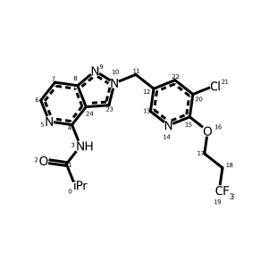 CC(C)C(=O)Nc1nccc2nn(Cc3cnc(OCCC(F)(F)F)c(Cl)c3)cc12